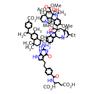 C=C(c1ccc(C(=O)O)cc1)c1cc2c(cc1C)C(C)(C)CCC2(C)C.CCC1=C[C@@H]2C[N@](C1)Cc1c([nH]c3ccccc13)[C@@](C(=O)OC)(c1cc3c(cc1OC)N(C)[C@H]1[C@@](O)(C(=O)OC)[C@H](OC(C)=O)[C@]4(CC)C=CCN5CC[C@]31[C@@H]54)C2.Nc1nc(=O)c2c(CCc3ccc(C(=O)N[C@@H](CCC(=O)O)C(=O)O)cc3)c[nH]c2[nH]1